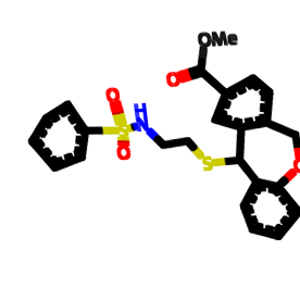 COC(=O)c1ccc2c(c1)C(SCCNS(=O)(=O)c1ccccc1)c1ccccc1OC2